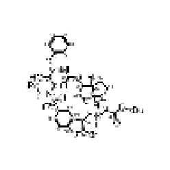 CC(C)CN(C[C@@H](O)[C@H](Cc1ccccc1)NC(=O)OC1CO[C@H]2OCC[C@@H]12)S(=O)(=O)c1ccc2oc(Br)c(CNCC(=O)OC(C)(C)C)c2c1